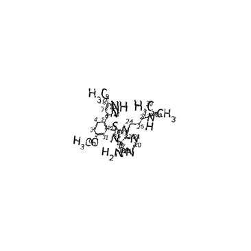 COc1ccc(-c2cc(C)[nH]n2)c(Sc2nc3c(N)ncnc3n2CCCNC(C)C)c1